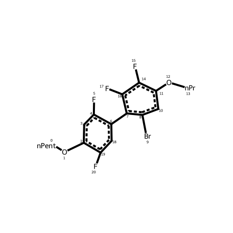 CCCCCOc1cc(F)c(-c2c(Br)cc(OCCC)c(F)c2F)cc1F